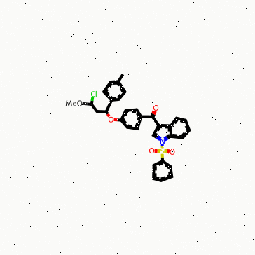 COC(Cl)CC(Oc1ccc(C(=O)c2cn(S(=O)(=O)c3ccccc3)c3ccccc23)cc1)c1ccc(C)cc1